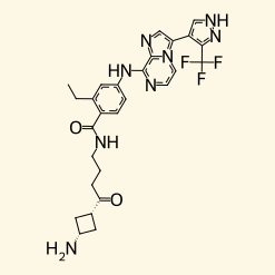 CCc1cc(Nc2nccn3c(-c4c[nH]nc4C(F)(F)F)cnc23)ccc1C(=O)NCCCC(=O)[C@H]1C[C@@H](N)C1